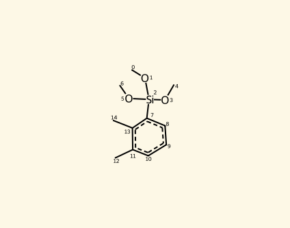 CO[Si](OC)(OC)c1cccc(C)c1C